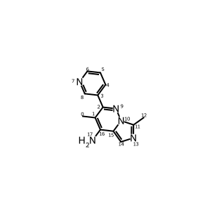 Cc1c(-c2cccnc2)nn2c(C)ncc2c1N